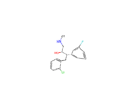 CCNC[C@H](O)C(Cc1ccccc1Cl)c1cccc(F)c1